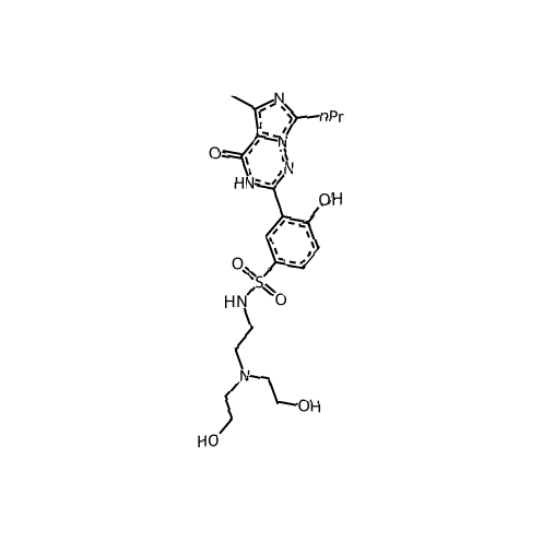 CCCc1nc(C)c2c(=O)[nH]c(-c3cc(S(=O)(=O)NCCN(CCO)CCO)ccc3O)nn12